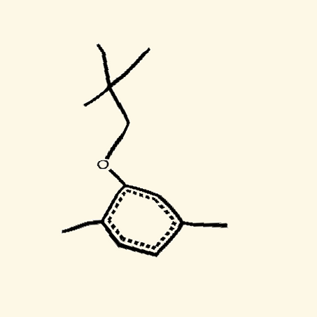 Cc1ccc(C)c(OCC(C)(C)C)c1